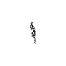 CCCCCCCC1CCC(C2CCC(COc3ccc(OCCC)c(F)c3F)CC2)CC1